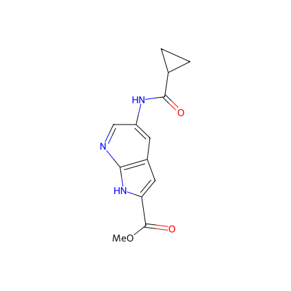 COC(=O)c1cc2cc(NC(=O)C3CC3)cnc2[nH]1